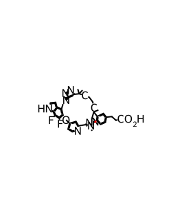 Cn1nc2nc1-c1cc(ccn1)Oc1c(F)c(F)c3[nH]ccc3c1Cn1cc(nn1)C(C)(C)CCCCC2(C)c1cccc(CCC(=O)O)c1